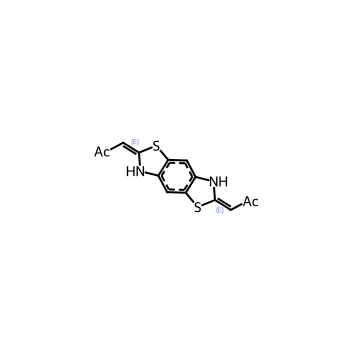 CC(=O)/C=C1\Nc2cc3c(cc2S1)N/C(=C\C(C)=O)S3